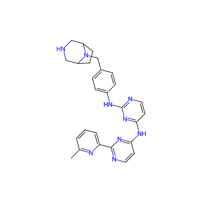 Cc1cccc(-c2nccc(Nc3ccnc(Nc4ccc(CN5C6CCC5CNC6)cc4)n3)n2)n1